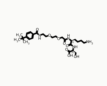 CC(C)(C)c1ccc(C(=O)NCCOCCOCC(=O)N[C@@H](CCCCN)C(=O)N[C@@H](CO)C(=O)O)cc1